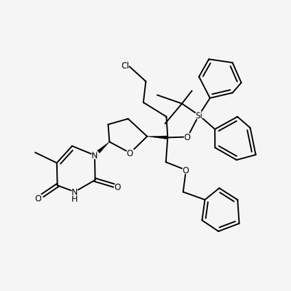 Cc1cn([C@H]2CC[C@@H](C(CCCCl)(COCc3ccccc3)O[Si](c3ccccc3)(c3ccccc3)C(C)(C)C)O2)c(=O)[nH]c1=O